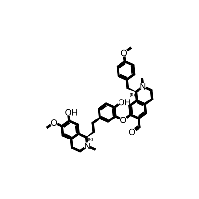 COc1ccc(C[C@@H]2c3cc(Oc4cc(CC[C@@H]5c6cc(O)c(OC)cc6CCN5C)ccc4O)c(C=O)cc3CCN2C)cc1